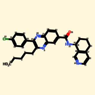 O=C(O)CCCCc1nc2cc(C(=O)N[C@H]3CCCc4ccncc43)ccc2nc1-c1ccc(Cl)cc1